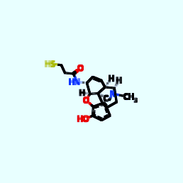 CN1CC[C@]23c4c5ccc(O)c4O[C@H]2[C@H](NC(=O)CCS)C=C[C@H]3[C@H]1C5